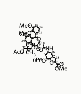 CCCOc1cc(NC(=O)C[C@H]2O[C@H](c3cccc(OC)c3OC)c3cc(Cl)ccc3N(CC(C)(C)COC(C)=O)C2=O)cc2cc(C(=O)OC)oc12